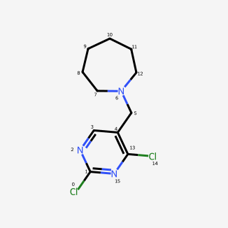 Clc1ncc(CN2CCCCCC2)c(Cl)n1